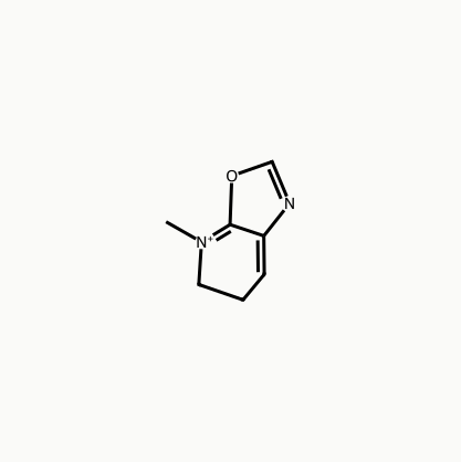 C[N+]1=c2ocnc2=CCC1